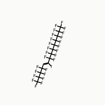 FC(F)(F)C(F)(F)C(F)(F)C(F)(F)C=C(I)C(F)(F)C(F)(F)C(F)(F)C(F)(F)C(F)(F)C(F)(F)C(F)(F)C(F)(F)F